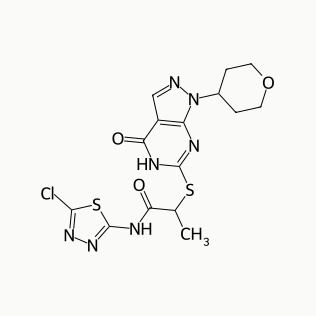 CC(Sc1nc2c(cnn2C2CCOCC2)c(=O)[nH]1)C(=O)Nc1nnc(Cl)s1